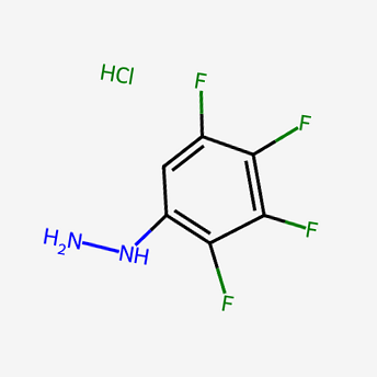 Cl.NNc1cc(F)c(F)c(F)c1F